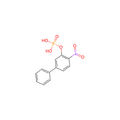 O=I(=O)c1ccc(-c2ccccc2)cc1OP(=O)(O)O